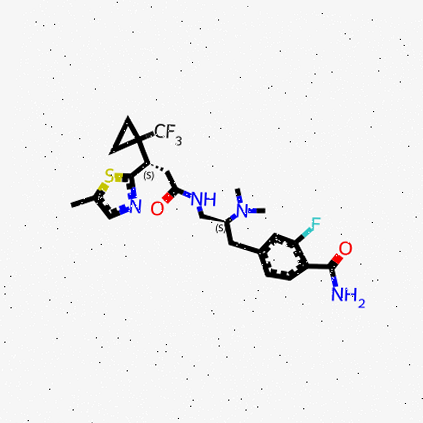 Cc1cnc([C@@H](CC(=O)NC[C@H](Cc2ccc(C(N)=O)c(F)c2)N(C)C)C2(C(F)(F)F)CC2)s1